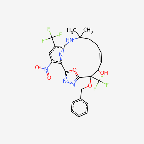 CC1(C)CCC=CC(O)C(OCc2ccccc2)(C(F)(F)F)c2nnc(o2)-c2nc(c(C(F)(F)F)cc2[N+](=O)[O-])N1